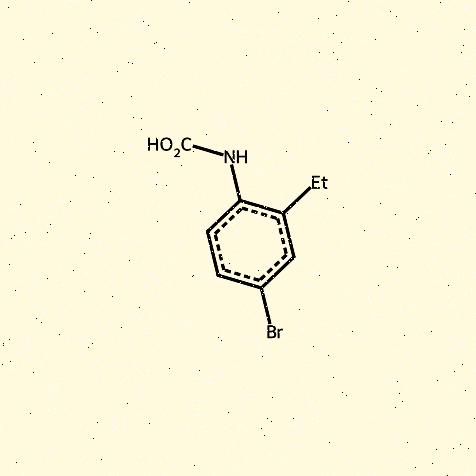 CCc1cc(Br)ccc1NC(=O)O